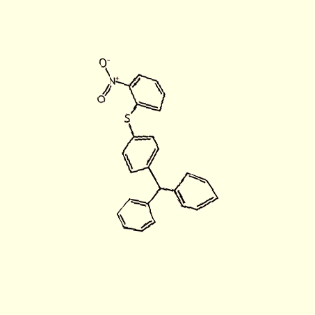 O=[N+]([O-])c1ccccc1Sc1ccc([C](c2ccccc2)c2ccccc2)cc1